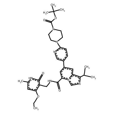 CCOc1cc(C)[nH]c(=O)c1CNC(=O)c1cc(-c2ccc(N3CCN(C(=O)OC(C)(C)C)CC3)nc2)cc2c(C(C)C)ncn12